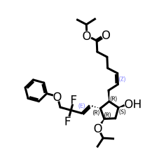 CC(C)OC(=O)CCC/C=C\C[C@@H]1[C@@H](/C=C/C(F)(F)COc2ccccc2)[C@H](OC(C)C)C[C@@H]1O